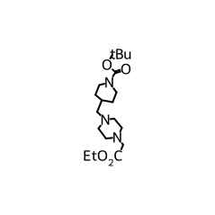 CCOC(=O)CN1CCN(CC2CCN(C(=O)OC(C)(C)C)CC2)CC1